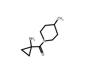 CC1CCN(C(=O)C2(N)CC2)CC1